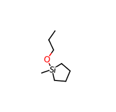 CCCO[Si]1(C)CCCC1